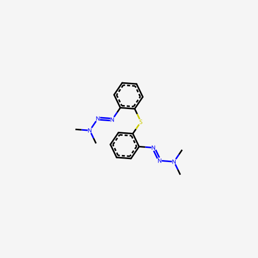 CN(C)N=Nc1ccccc1Sc1ccccc1N=NN(C)C